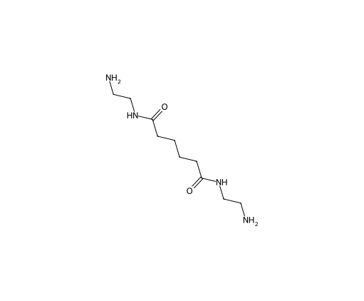 NCCNC(=O)CCCCC(=O)NCCN